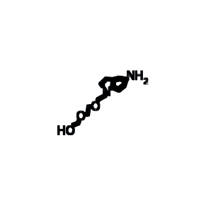 Nc1ccc2c(c1)CCN2CCOCCOCCO